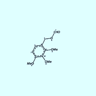 COc1ccc(COC=O)c(OC)c1OC